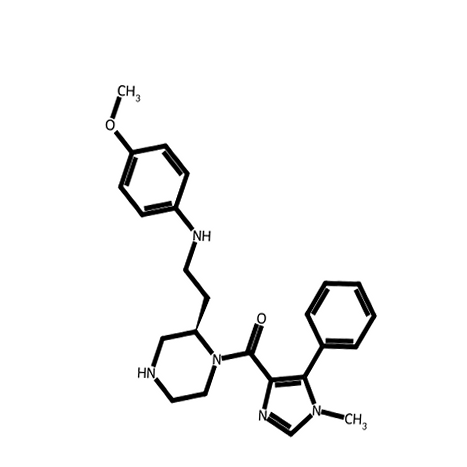 COc1ccc(NCC[C@@H]2CNCCN2C(=O)c2ncn(C)c2-c2ccccc2)cc1